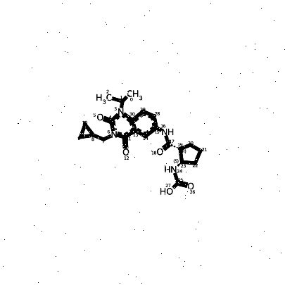 CC(C)n1c(=O)n(CC2CC2)c(=O)c2cc(NC(=O)[C@@H]3CCC[C@@H]3NC(=O)O)ccc21